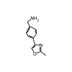 Cc1nc(-c2ccc(CN)cc2)co1